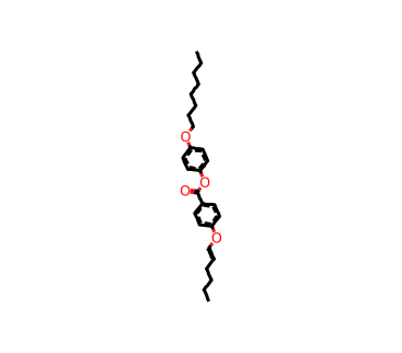 CCCCC=COc1ccc(C(=O)Oc2ccc(OCCCCCCCC)cc2)cc1